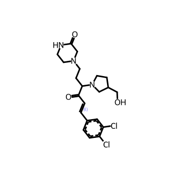 O=C1CN(CCC(C(=O)/C=C/c2ccc(Cl)c(Cl)c2)N2CCC(CO)C2)CCN1